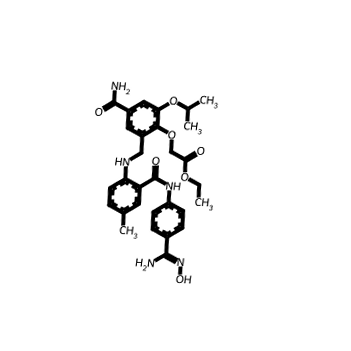 CCOC(=O)COc1c(CNc2ccc(C)cc2C(=O)Nc2ccc(/C(N)=N/O)cc2)cc(C(N)=O)cc1OC(C)C